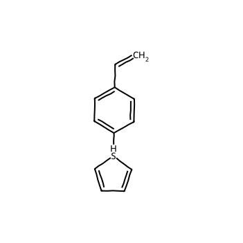 C=Cc1ccc([SH]2C=CC=C2)cc1